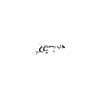 COCCNCCOc1c(Cl)cc(Cl)cc1Cl